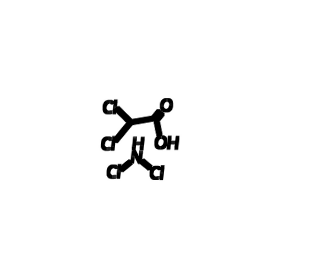 ClNCl.O=C(O)C(Cl)Cl